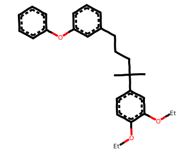 CCOc1ccc(C(C)(C)CCCc2cccc(Oc3ccccc3)c2)cc1OCC